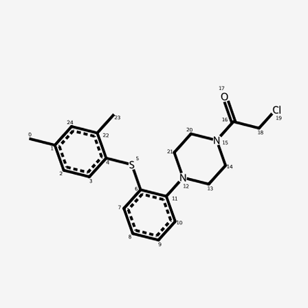 Cc1ccc(Sc2ccccc2N2CCN(C(=O)CCl)CC2)c(C)c1